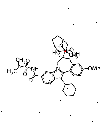 COc1ccc2c(c1)[C@@H](O)[C@](O)(C(=O)N1C3CCC1CN(C)C3)Cn1c-2c(C2CCCCC2)c2ccc(C(=O)NS(=O)(=O)N(C)C)cc21